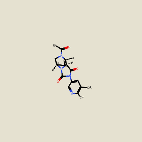 CCC(=O)N1C[C@@H]2C[C@H]1[C@H]1C(=O)N(c3cnc(C#N)c(C)c3)C(=O)N21